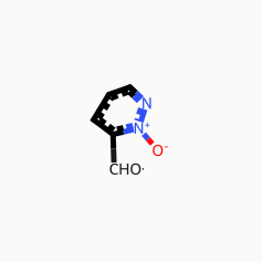 O=[C]c1cccn[n+]1[O-]